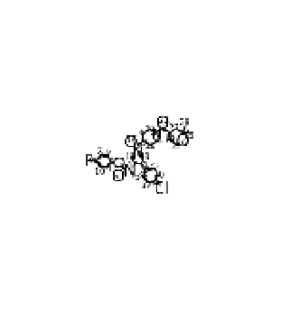 CN(C(=O)Oc1ccc(F)cc1)[C@@H]1CN(C(=O)C2CCN(C(=O)C3CCOC(C)(C)C3)CC2)C[C@H]1c1ccc(Cl)cc1